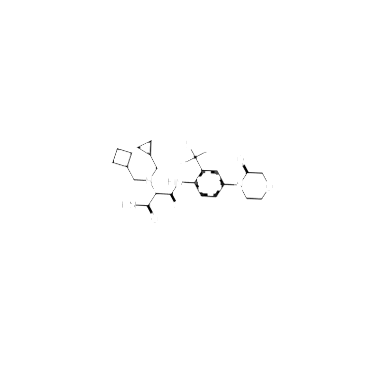 NC(=O)[C@H](C(=O)Nc1ccc(N2CCOCC2=O)cc1C(F)(F)F)N(CC1CCC1)CC1CC1